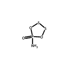 NP1(=O)OSSO1